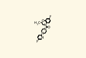 C[C@@H]1CN(C(=O)N2CCN(c3ccc(F)cn3)CC2)c2ccc(F)cc2O1